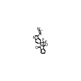 [N-]=[N+]=NC1=CN=C2C=CC(N3C(=O)c4ccccc4C3=O)(C(F)(F)F)C=C12